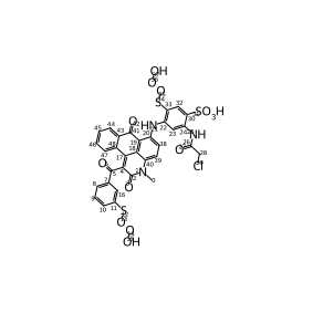 Cn1c(=O)c(C(=O)c2cccc(SOOO)c2)c2c3c(c(Nc4cc(NC(=O)CCl)c(S(=O)(=O)O)cc4SOOO)ccc31)C(=O)c1ccccc1-2